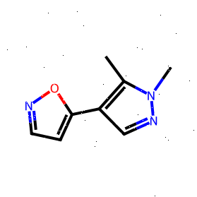 Cc1c(-c2ccno2)cnn1C